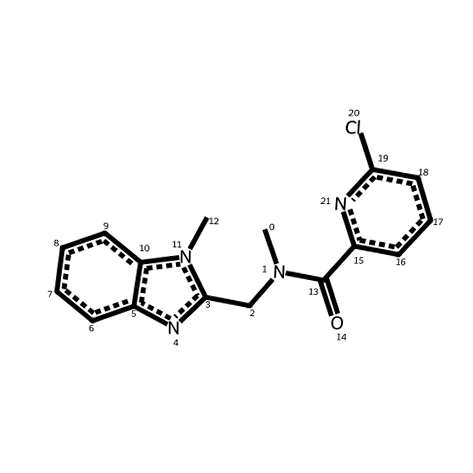 CN(Cc1nc2ccccc2n1C)C(=O)c1cccc(Cl)n1